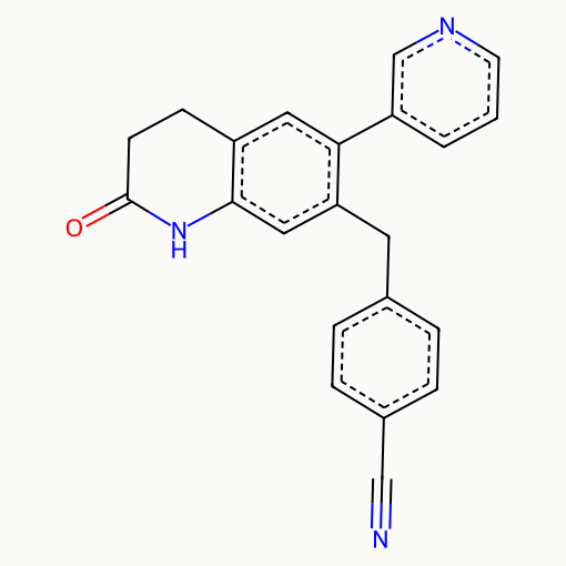 N#Cc1ccc(Cc2cc3c(cc2-c2cccnc2)CCC(=O)N3)cc1